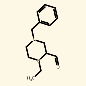 CCN1CCN(Cc2ccccc2)CC1C=O